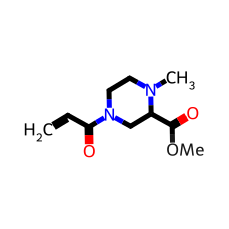 C=CC(=O)N1CCN(C)C(C(=O)OC)C1